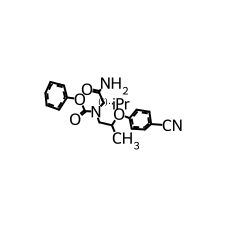 CC(CN(C(=O)Oc1ccccc1)[C@H](C(N)=O)C(C)C)Oc1ccc(C#N)cc1